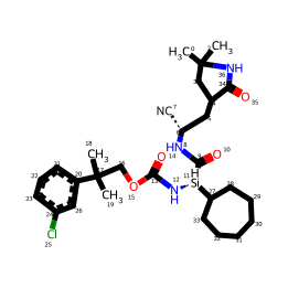 CC1(C)CC(C[C@@H](C#N)NC(=O)[Si@@H](NC(=O)OCC(C)(C)c2cccc(Cl)c2)C2CCCCCC2)C(=O)N1